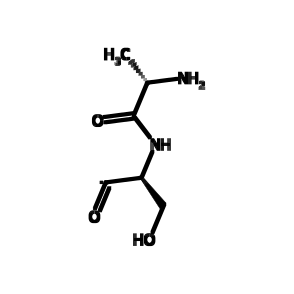 C[C@H](N)C(=O)N[C@H]([C]=O)CO